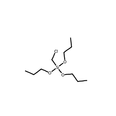 CCCO[Si](CCl)(OCCC)OCCC